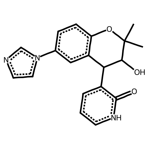 CC1(C)Oc2ccc(-n3ccnc3)cc2C(c2ccc[nH]c2=O)C1O